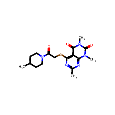 Cc1nc(SCC(=O)N2CCC(C)CC2)c2c(=O)n(C)c(=O)n(C)c2n1